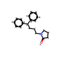 O=C1CCCN1CCCC(c1ccccc1)c1ccccc1